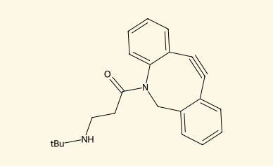 CC(C)(C)NCCC(=O)N1Cc2ccccc2C#Cc2ccccc21